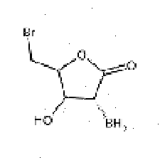 B[C@H]1C(=O)OC(CBr)C1O